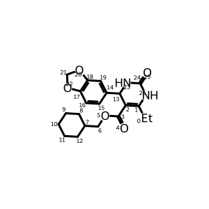 CCC1=C(C(=O)OCC2CCCCC2)C(c2ccc3c(c2)OCO3)NC(=O)N1